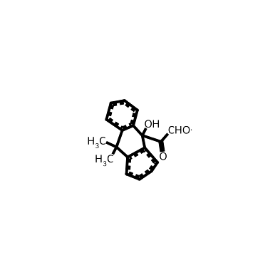 CC1(C)c2ccccc2C(O)(C(=O)[C]=O)c2ccccc21